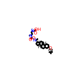 C/C(=N\OC(=O)N(C)CCN(C)C(=O)O)[C@H]1CC[C@H]2[C@@H]3CCC4C[C@@H](O[Si](C)(C)C(C)(C)C)CC[C@]4(C)[C@H]3CC[C@]12C